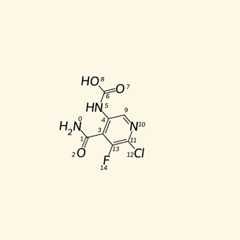 NC(=O)c1c(NC(=O)O)cnc(Cl)c1F